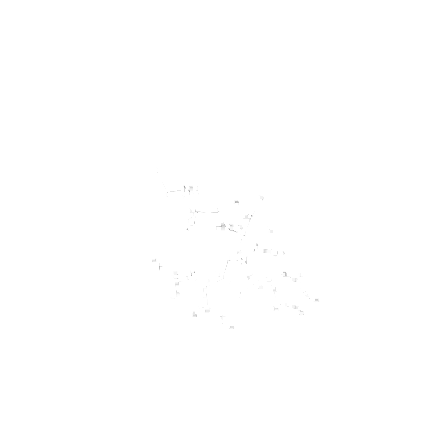 CCNC(=O)CN[C@H](C(=O)N1CC(c2cc(F)ccc2F)=C[C@H]1c1ccccc1)C(C)(C)C